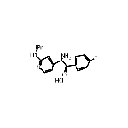 CC(C)Nc1cc(C(N)C(=O)c2ccc(F)cc2)ccn1.Cl